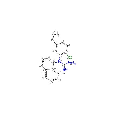 CCc1ccc(Cl)c(N(C(=N)N)c2cccc3ccccc23)c1